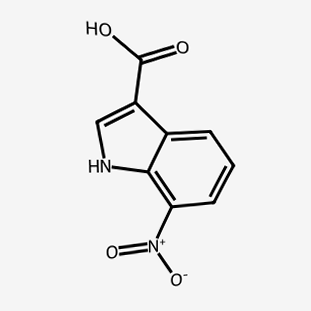 O=C(O)c1c[nH]c2c([N+](=O)[O-])cccc12